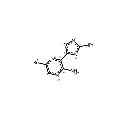 CC(C)c1noc(-c2nc(Br)cnc2N)n1